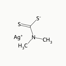 CN(C)C(=S)[S-].[Ag+]